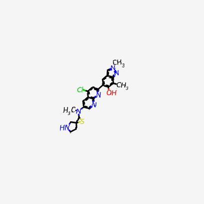 Cc1c(O)c(-c2cc(Cl)c3cc(N(C)C4SC45CCNC5)cnc3n2)cc2cn(C)nc12